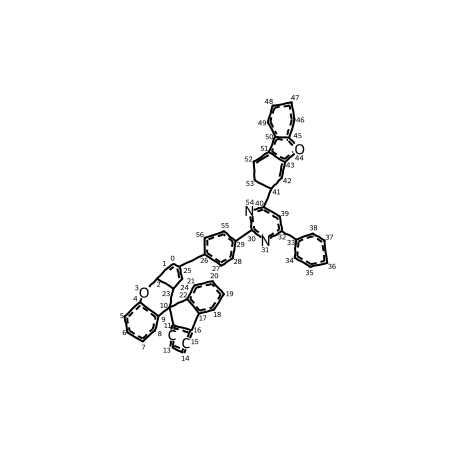 C1=CC2Oc3ccccc3C3(c4ccccc4-c4ccccc43)C2C=C1c1ccc(-c2nc(-c3ccccc3)cc(C3C=c4oc5ccccc5c4=CC3)n2)cc1